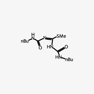 CCCCNC(=O)N=C(NC(=O)NCCCC)SC